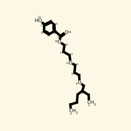 CCCCC(CC)COCCCOCCCOC(=O)c1ccc(O)cc1